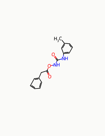 Cc1cccc(NC(=O)NOC(=O)Cc2ccccc2)c1